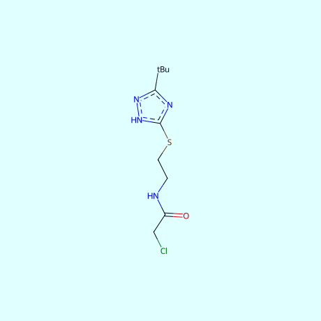 CC(C)(C)c1n[nH]c(SCCNC(=O)CCl)n1